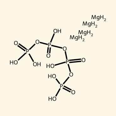 O=P(O)(O)OP(=O)(O)OP(=O)(O)OP(=O)(O)O.[MgH2].[MgH2].[MgH2].[MgH2]